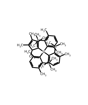 CC1=C(C)C(C)C([Si](c2c(C)ccc(C)c2N(C)C)(c2c(C)ccc(C)c2N(C)C)c2c(C)ccc(C)c2N(C)C)=C1C